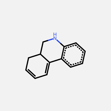 C1=CCC2CNc3ccccc3C2=C1